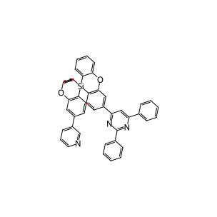 c1ccc(-c2cc(-c3ccc4c(c3)Oc3ccccc3[Si]43c4ccccc4Oc4cc(-c5cccnc5)ccc43)nc(-c3ccccc3)n2)cc1